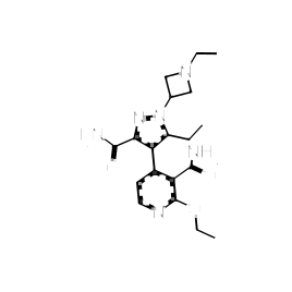 CCOc1nccc(-c2c(C(N)=O)nn(C3CN(CC)C3)c2CC)c1C(N)=O